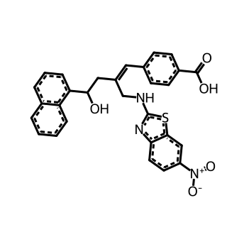 O=C(O)c1ccc(C=C(CNc2nc3ccc([N+](=O)[O-])cc3s2)CC(O)c2cccc3ccccc23)cc1